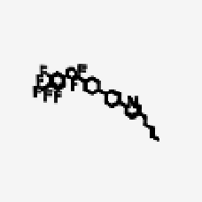 C/C=C/CCc1ccc(C2C=CC(C3CCC(C(F)(F)Oc4cc(F)c(C(F)(F)F)c(F)c4)CC3)CC2)nc1